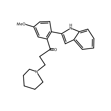 COc1ccc(-c2cc3ccccc3[nH]2)c(C(=O)CCN2CCCCC2)c1